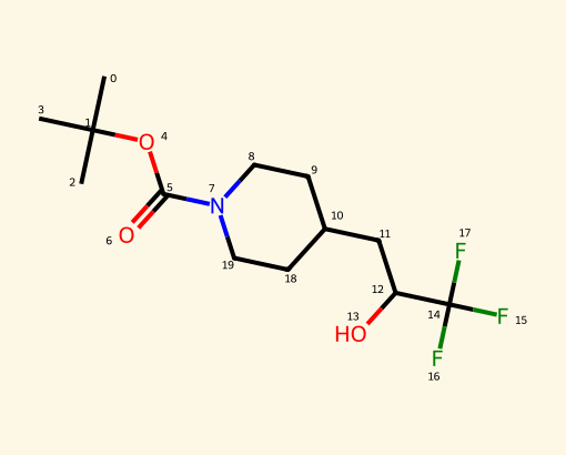 CC(C)(C)OC(=O)N1CCC(CC(O)C(F)(F)F)CC1